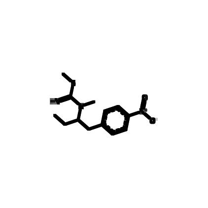 CCC(Cc1ccc([N+](=O)[O-])cc1)N(C)C(=N)SC